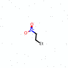 CCC[CH][N+](=O)[O-]